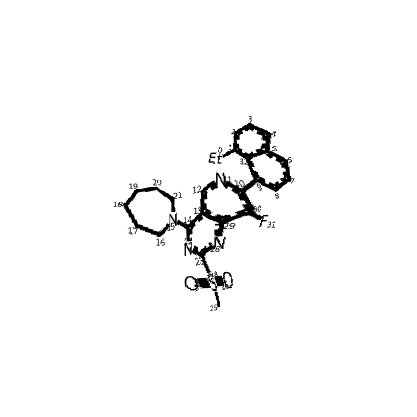 CCc1cccc2cccc(-c3ncc4c(N5CCCCCC5)nc(S(C)(=O)=O)nc4c3F)c12